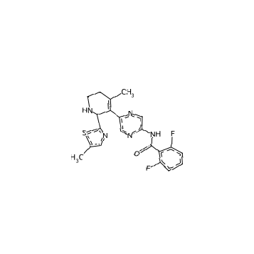 CC1=C(c2cnc(NC(=O)c3c(F)cccc3F)cn2)C(c2ncc(C)s2)NCC1